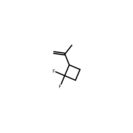 C=C(C)C1CCC1(F)F